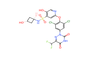 B[C@]1(NS(=O)(=O)c2cc(Oc3c(Cl)cc(-n4nc(C(F)F)c(=O)[nH]c4=O)cc3Cl)ncc2O)C[C@H](O)C1